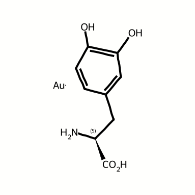 N[C@@H](Cc1ccc(O)c(O)c1)C(=O)O.[Au]